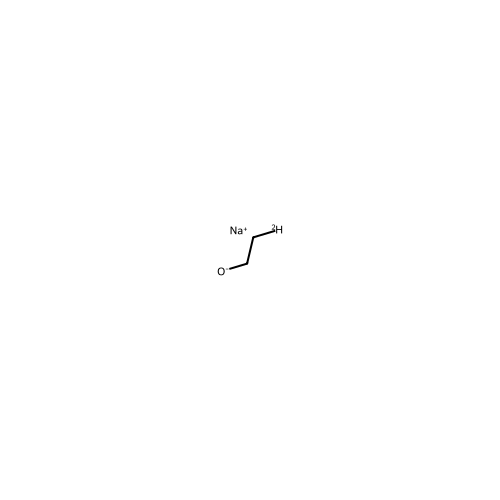 [2H]CC[O-].[Na+]